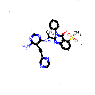 CC(Nc1ncnc(N)c1C#Cc1cnccn1)c1nc2cccc(S(C)(=O)=O)c2c(=O)n1-c1ccccc1